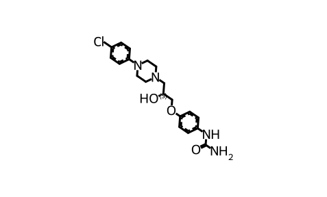 NC(=O)Nc1ccc(OC[C@@H](O)CN2CCN(c3ccc(Cl)cc3)CC2)cc1